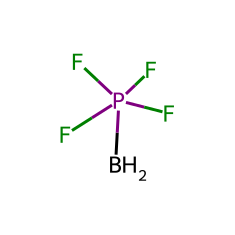 BP(F)(F)(F)F